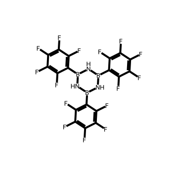 Fc1c(F)c(F)c(B2NB(c3c(F)c(F)c(F)c(F)c3F)NB(c3c(F)c(F)c(F)c(F)c3F)N2)c(F)c1F